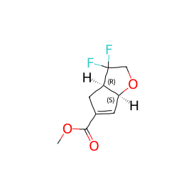 COC(=O)C1=C[C@@H]2OCC(F)(F)[C@@H]2C1